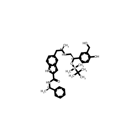 C[C@H](Cc1ccc2[nH]c(C(=O)N[C@H](C)c3ccccc3)cc2c1)NC[C@H](O[Si](C)(C)C(C)(C)C)c1ccc(O)c(CO)c1